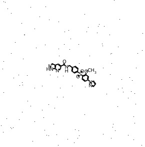 COc1cc(-n2cccn2)ccc1S(=O)(=O)c1ccc(CNC(=O)c2cnc3[nH]ncc3c2)cc1